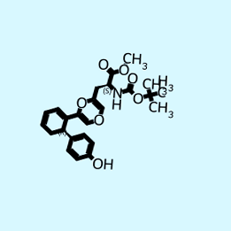 COC(=O)[C@H](CC1=COC=C(C2=CC=CC[C@@H]2c2ccc(O)cc2)O1)NC(=O)OC(C)(C)C